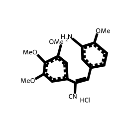 COc1ccc(/C=C(/C#N)c2cc(OC)c(OC)c(OC)c2)cc1N.Cl